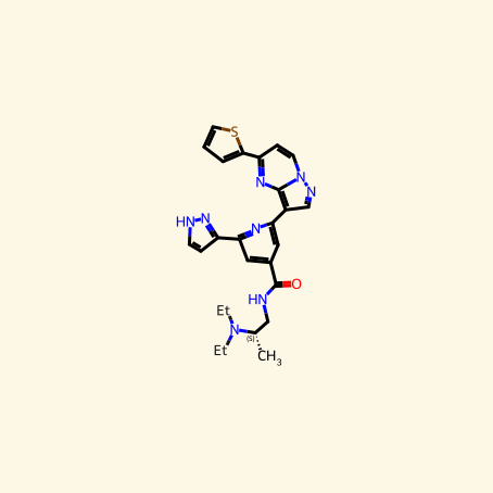 CCN(CC)[C@@H](C)CNC(=O)c1cc(-c2cc[nH]n2)nc(-c2cnn3ccc(-c4cccs4)nc23)c1